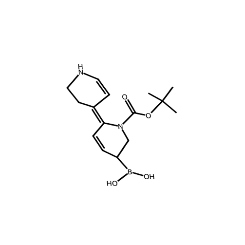 CC(C)(C)OC(=O)N1CC(B(O)O)C=CC1=C1C=CNCC1